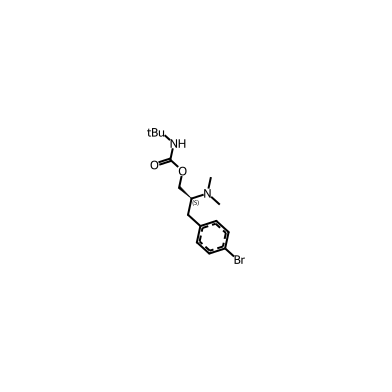 CN(C)[C@H](COC(=O)NC(C)(C)C)Cc1ccc(Br)cc1